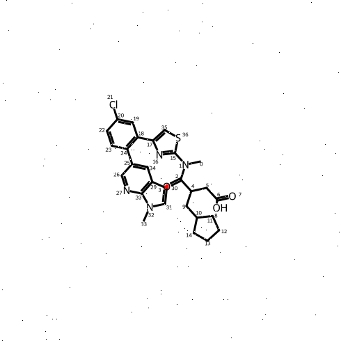 CN(C(=O)C(CC(=O)O)CC1CCCC1)c1nc(-c2cc(Cl)ccc2-c2cnc3c(ccn3C)c2)cs1